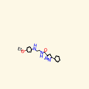 CCOc1ccc(NCCNC(=O)c2cc(-c3ccccc3)nn2C)cc1